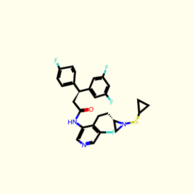 O=C(C[C@@H](c1ccc(F)cc1)c1cc(F)cc(F)c1)Nc1cncc(F)c1CC[C@H]1CN1SC1CC1